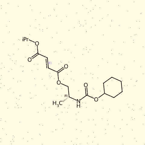 CC(C)OC(=O)/C=C/C(=O)OC[C@@H](C)NC(=O)OC1CCCCC1